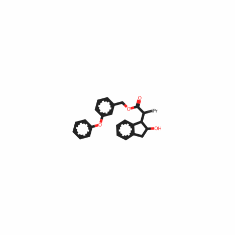 CC(C)C(C(=O)OCc1cccc(Oc2ccccc2)c1)C1c2ccccc2CC1O